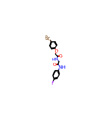 O=C(COc1ccc(Br)cc1)NCC(=O)Nc1ccc(I)cc1